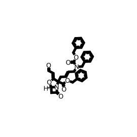 O=CC=C1O[C@@H]2CC(=O)N2C1(CC=CCN(Cc1ccccc1)C(=O)OCc1ccccc1)C(=O)OCc1ccccc1